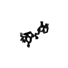 Cc1csc2c1[C@]13C(=CC2=O)N(C(=O)/C=C/c2c[nH]c4ncccc24)C2C1[C@@H]23